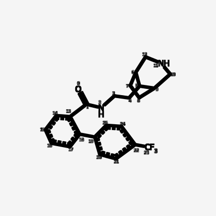 O=C(NCCC1C2CCC1CNC2)c1ccccc1-c1ccc(C(F)(F)F)cc1